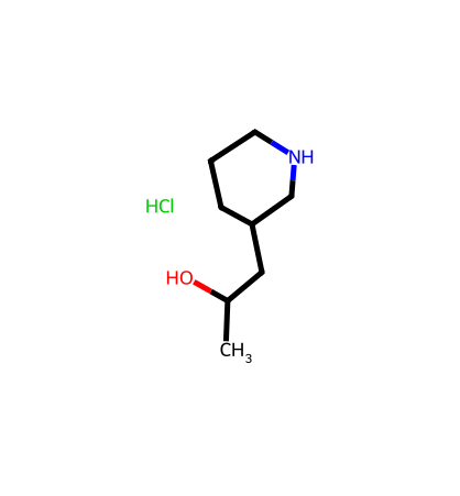 CC(O)CC1CCCNC1.Cl